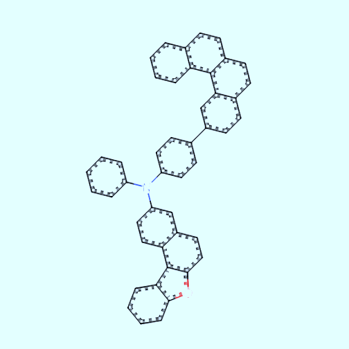 c1ccc(N(c2ccc(-c3ccc4ccc5ccc6ccccc6c5c4c3)cc2)c2ccc3c(ccc4oc5ccccc5c43)c2)cc1